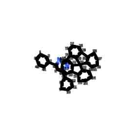 c1ccc(-c2cc(-c3ccccc3)nc(-c3cccc4c3C3(c5ccccc5-c5ccccc53)c3ccccc3-4)n2)cc1